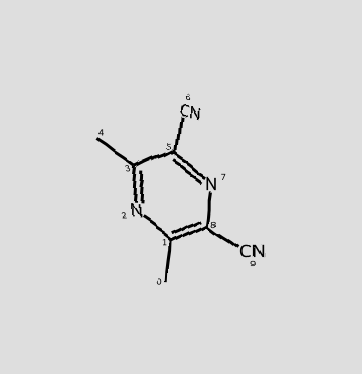 Cc1nc(C)c(C#N)nc1C#N